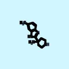 Cc1ccc2nc(C3(N)CCNCC3)[nH]c2c1